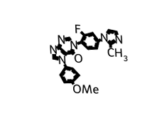 COc1ccc(-n2cnc3ncn(-c4ccc(-n5ccnc5C)cc4F)c(=O)c32)cc1